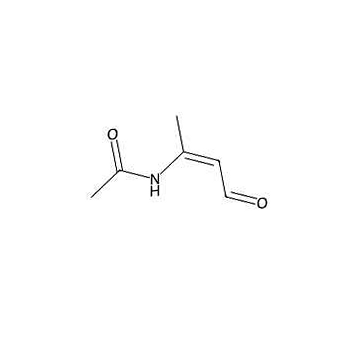 CC(=O)N/C(C)=C\C=O